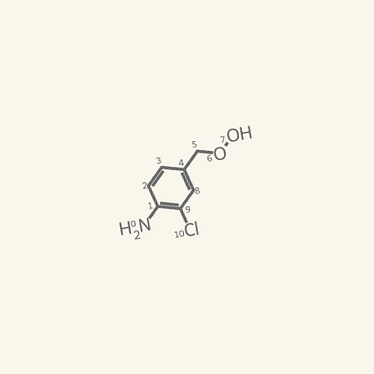 Nc1ccc(COO)cc1Cl